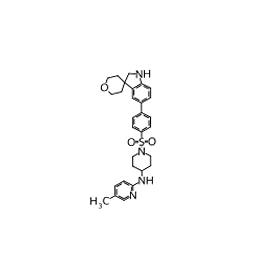 Cc1ccc(NC2CCN(S(=O)(=O)c3ccc(-c4ccc5c(c4)C4(CCOCC4)CN5)cc3)CC2)nc1